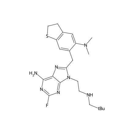 CN(C)c1cc2c(cc1Cc1nc3c(N)nc(F)nc3n1CCNCC(C)(C)C)SCC2